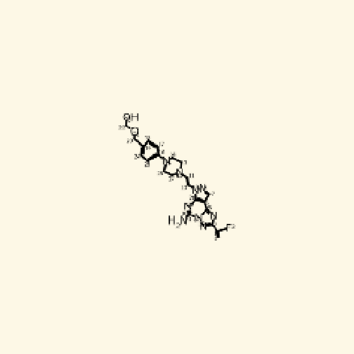 C=C(F)c1nc2c3cnn(CCN4CCN(c5ccc(COCO)cc5)CC4)c3nc(N)n2n1